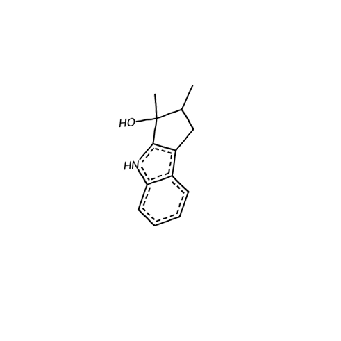 CC1Cc2c([nH]c3ccccc23)C1(C)O